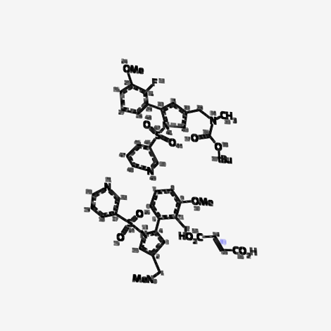 CNCc1cc(-c2cccc(OC)c2F)n(S(=O)(=O)c2cccnc2)c1.COc1cccc(-c2cc(CN(C)C(=O)OC(C)(C)C)cn2S(=O)(=O)c2cccnc2)c1F.O=C(O)/C=C/C(=O)O